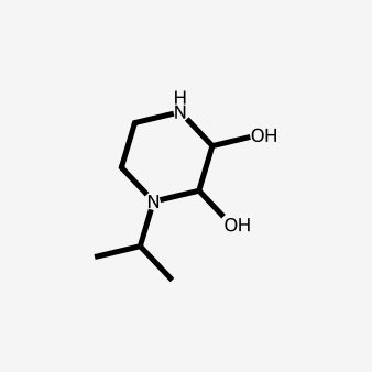 CC(C)N1CCNC(O)C1O